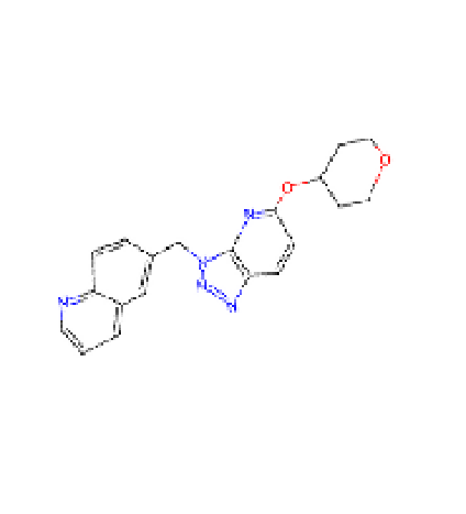 c1cnc2ccc(Cn3nnc4ccc(OC5CCOCC5)nc43)cc2c1